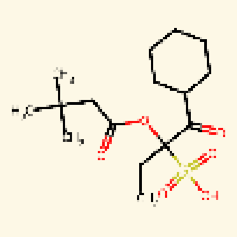 CCC(OC(=O)CC(C)(C)C)(C(=O)C1CCCCC1)S(=O)(=O)O